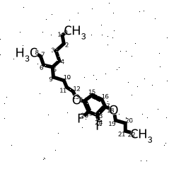 CCCCCC(CCC)CCCCOc1ccc(OCCCC)c(F)c1F